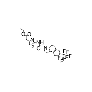 CCOC(=O)Cc1csc(NC(=O)CN2CCC3c4ccc(C(F)(C(F)(F)F)C(F)(F)F)cc4CCC32)n1